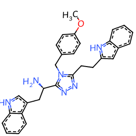 COc1ccc(Cn2c(CCc3cc4ccccc4[nH]3)nnc2[C@H](N)Cc2c[nH]c3ccccc23)cc1